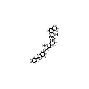 O=C(CN1CCN(C[C@@H](O)COc2ccc3oc(-c4ccccc4)nc3c2)CC1)Nc1cccc2c1CCCC2